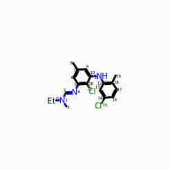 CCN(C)C=Nc1cc(C)cc(Nc2cc(Cl)ccc2C)c1Cl